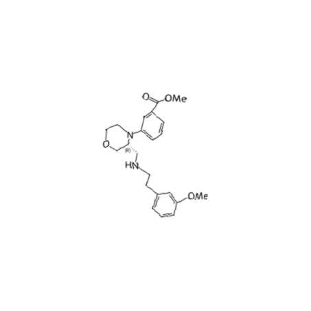 COC(=O)c1cccc(N2CCOC[C@H]2CNCCc2cccc(OC)c2)c1